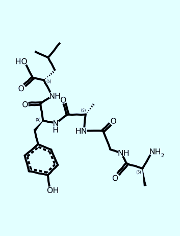 CC(C)C[C@H](NC(=O)[C@H](Cc1ccc(O)cc1)NC(=O)[C@H](C)NC(=O)CNC(=O)[C@H](C)N)C(=O)O